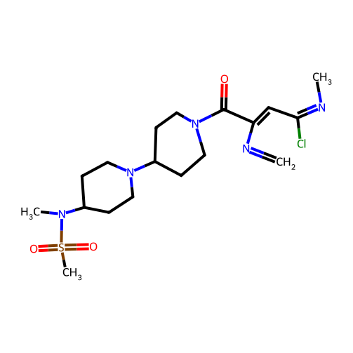 C=N/C(=C\C(Cl)=N/C)C(=O)N1CCC(N2CCC(N(C)S(C)(=O)=O)CC2)CC1